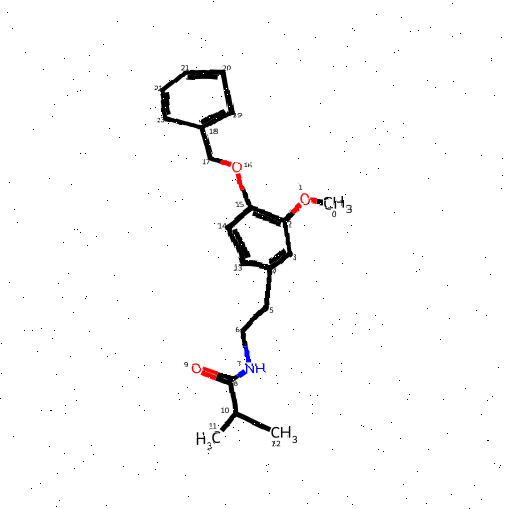 COc1cc(CCNC(=O)C(C)C)ccc1OCc1ccccc1